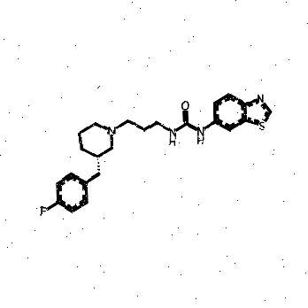 O=C(NCCCN1CCC[C@@H](Cc2ccc(F)cc2)C1)Nc1ccc2ncsc2c1